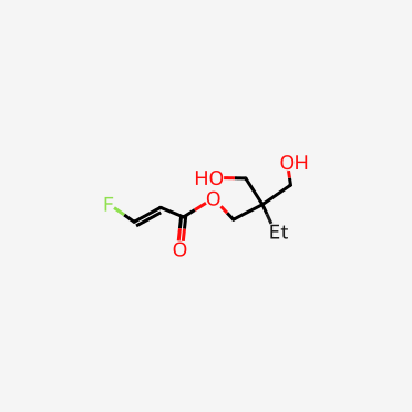 CCC(CO)(CO)COC(=O)C=CF